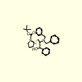 CC(C)(C)OC(=O)N1CCC[C@H]1CC(C(O)c1ccccc1)N(Cc1ccccc1)Cc1ccccc1